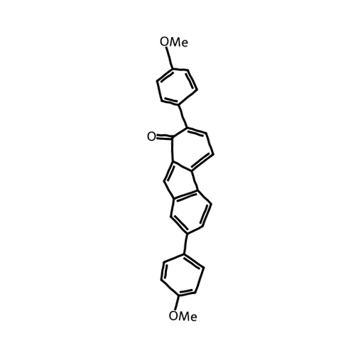 COc1ccc(C2=CC=C3C(=Cc4cc(-c5ccc(OC)cc5)ccc43)C2=O)cc1